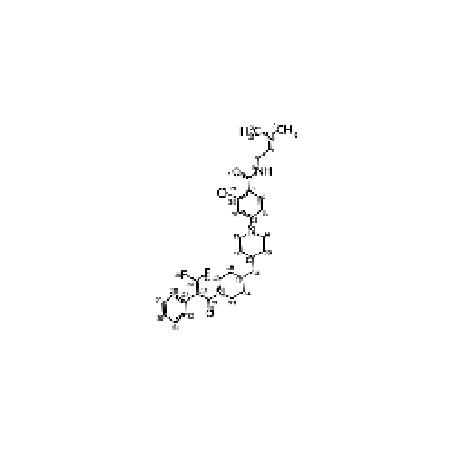 CN(C)CCNC(=O)c1ccc(N2CCC(CC3CCN(C(=O)C(=C(F)F)c4ccccc4)CC3)CC2)cc1Cl